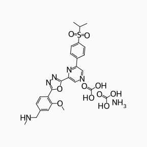 CNCc1ccc(-c2nnc(-c3cncc(-c4ccc(S(=O)(=O)C(C)C)cc4)n3)o2)c(OC)c1.N.O=C(O)O.O=C(O)O